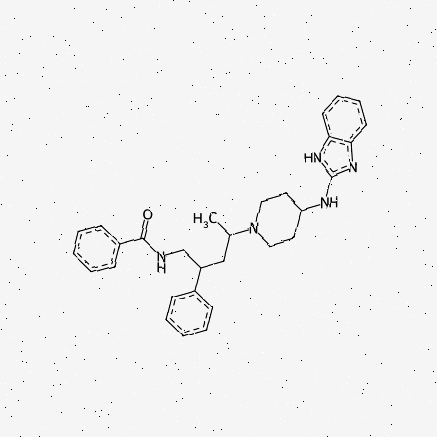 CC(CC(CNC(=O)c1ccccc1)c1ccccc1)N1CCC(Nc2nc3ccccc3[nH]2)CC1